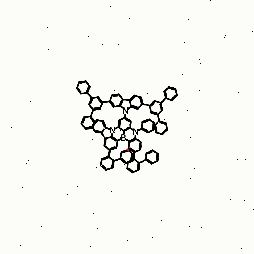 c1ccc(-c2cc(-c3ccccc3)cc(-c3ccc4c5ccc(-c6cc(-c7ccccc7)cc(-c7ccccc7)c6)cc5n(-c5cc6c7c(c5)-n5c8ccccc8c8cc(-c9ccccc9-c9ccccc9)cc(c85)B7c5cc(-c7ccccc7-c7ccccc7)ccc5N6c5ccccc5)c4c3)c2)cc1